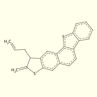 C=CCC1C(=C)Sc2cc3ccc4c5ccccc5sc4c3cc21